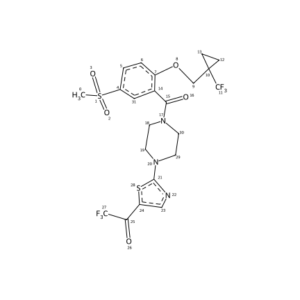 CS(=O)(=O)c1ccc(OCC2(C(F)(F)F)CC2)c(C(=O)N2CCN(c3ncc(C(=O)C(F)(F)F)s3)CC2)c1